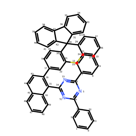 c1ccc(-c2nc(-c3ccccc3)nc(-c3c(-c4ccc5c(c4)Sc4ccccc4C54c5ccccc5-c5ccccc54)ccc4ccccc34)n2)cc1